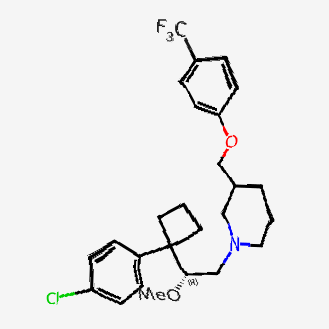 CO[C@@H](CN1CCCC(COc2ccc(C(F)(F)F)cc2)C1)C1(c2ccc(Cl)cc2)CCC1